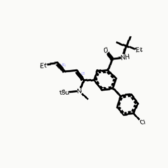 CC/C=C/C=C(/c1cc(C(=O)NC(C)(C)CC)cc(-c2ccc(Cl)cc2)c1)N(C)C(C)(C)C